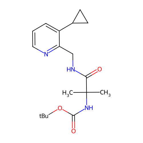 CC(C)(C)OC(=O)NC(C)(C)C(=O)NCc1ncccc1C1CC1